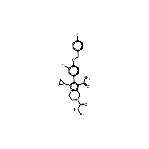 CC(C)(C)NC(=O)N1CCn2c(c(C(N)=O)c(-c3ccc(OCc4ccc(F)cc4)c(Cl)c3)c2C2CC2)C1